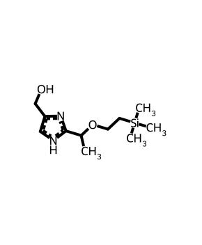 CC(OCC[Si](C)(C)C)c1nc(CO)c[nH]1